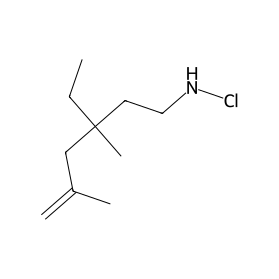 C=C(C)CC(C)(CC)CCNCl